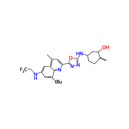 C=C1CCC(Nc2nnc(-c3cc(C)c4cc(NCC(F)(F)F)cc(C(C)(C)C)c4n3)o2)CC1O